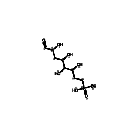 O=CN(O)CC(O)C(O)C(O)CCP(=O)(O)O